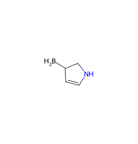 BC1C=CNC1